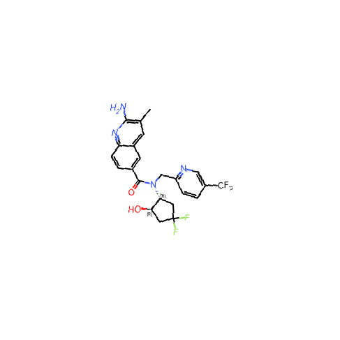 Cc1cc2cc(C(=O)N(Cc3ccc(C(F)(F)F)cn3)[C@@H]3CC(F)(F)C[C@H]3O)ccc2nc1N